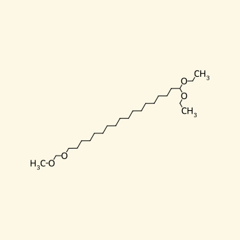 CCOC(CCCCCCCCCCCCCCCCCOCOC)OCC